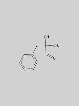 CC(O)(C=O)Cc1ccccc1